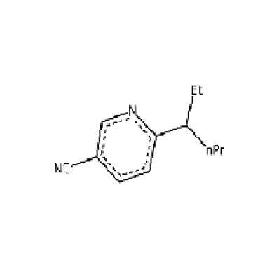 CCCC(CC)c1ccc(C#N)cn1